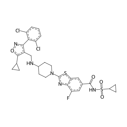 O=C(NS(=O)(=O)C1CC1)c1cc(F)c2nc(N3CCC(NCc4c(-c5c(Cl)cccc5Cl)noc4C4CC4)CC3)sc2c1